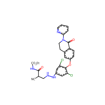 CCOC(=O)NC(=O)C(C#N)CNNc1cc(Cl)c(Oc2ccc3c(c2)CCN(c2ccccn2)C3=O)c(Cl)c1